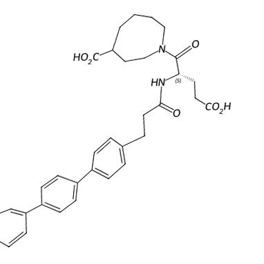 O=C(O)CC[C@H](NC(=O)CCc1ccc(-c2ccc(-c3ccccc3)cc2)cc1)C(=O)N1CCCCC(C(=O)O)CC1